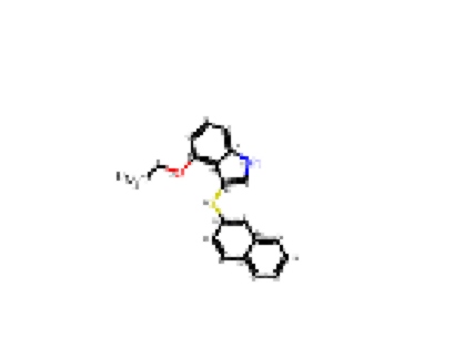 O=C(O)COc1cccc2[nH]cc(Sc3ccc4ccccc4c3)c12